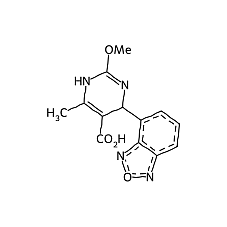 COC1=NC(c2cccc3nonc23)C(C(=O)O)=C(C)N1